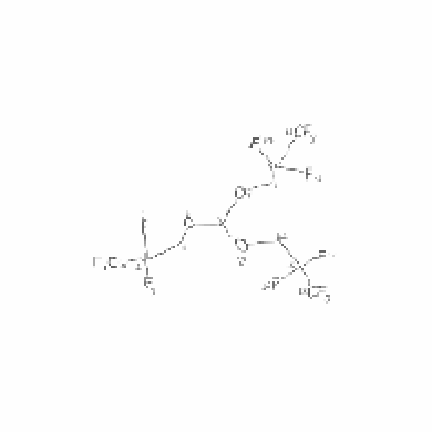 FC(F)(F)C(F)(F)COC(OCC(F)(F)C(F)(F)F)OCC(F)(F)C(F)(F)F